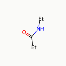 [CH2]CC(=O)NCC